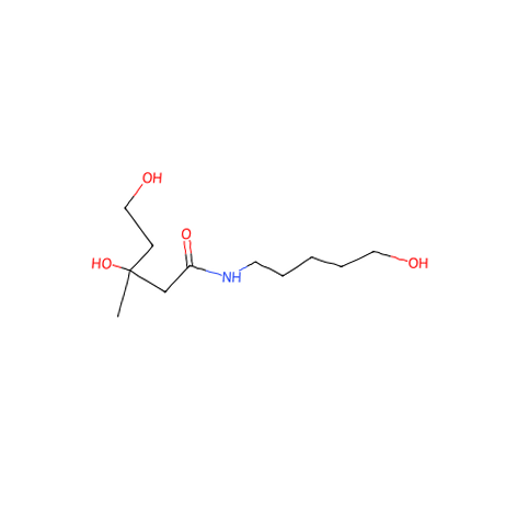 CC(O)(CCO)CC(=O)NCCCCCO